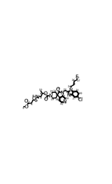 COC(=O)CCSNCC(C)OC(=O)N1CCC2(CC1)C(=O)N(Cc1nc3cc(Cl)ccc3n1CCCCF)c1cnccc12